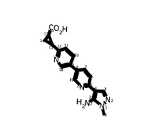 Cn1ncc(-c2ccc(-c3ccc(C4CC4C(=O)O)nc3)cn2)c1N